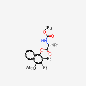 CCc1c(CC)c(OC(=O)[C@@H](NC(=O)OC(C)(C)C)C(C)C)c2ccccc2c1OC